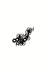 O=S(=O)(O)OCCS(=O)(=O)c1ccc(S(=O)(=O)O)c(/N=N/c2c(S(=O)(=O)O)cc3ccccc3c2O)c1